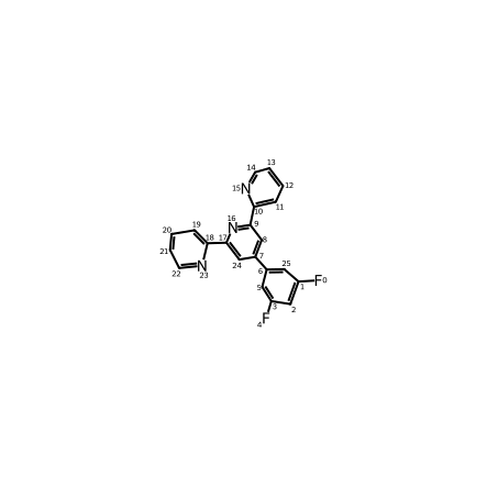 Fc1cc(F)cc(-c2cc(-c3ccccn3)nc(-c3ccccn3)c2)c1